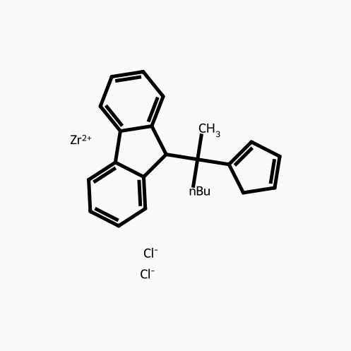 CCCCC(C)(C1=CC=CC1)C1c2ccccc2-c2ccccc21.[Cl-].[Cl-].[Zr+2]